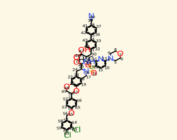 Cc1nc(N2CCOCC2)ccc1S(=O)(=O)N1Cc2cc3c(cc2CC1C(=O)NC(Cc1ccc(-c2ccc(C#N)cc2)cc1)C(=O)O)OCC(c1ccc(OCc2ccc(Cl)c(Cl)c2)cc1)O3